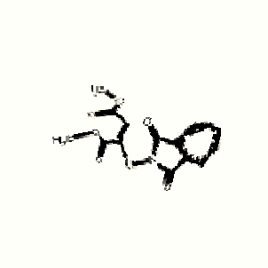 BOC(=O)/C=C(/ON1C(=O)c2ccccc2C1=O)C(=O)OB